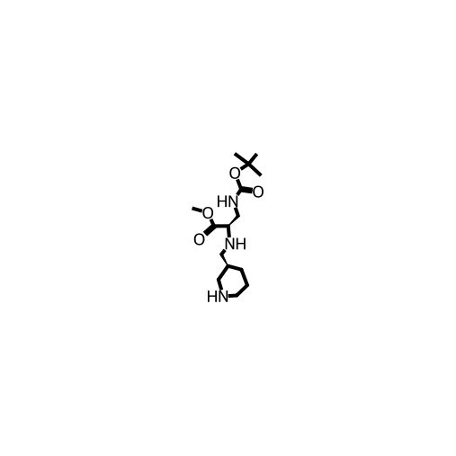 COC(=O)[C@@H](CNC(=O)OC(C)(C)C)NC[C@H]1CCCNC1